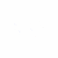 CC(=N)NCCN1C(=O)C2C3C=CC(O3)C2C1=O